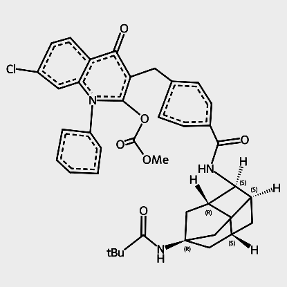 COC(=O)Oc1c(Cc2ccc(C(=O)N[C@@H]3[C@@H]4C[C@@H]5C[C@H]3C[C@](NC(=O)C(C)(C)C)(C5)C4)cc2)c(=O)c2ccc(Cl)cc2n1-c1ccccc1